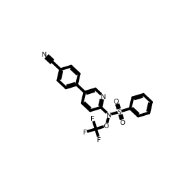 N#Cc1ccc(-c2ccc(N(OC(F)(F)F)S(=O)(=O)c3ccccc3)nc2)cc1